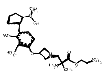 CC(N)(CN1CC(Oc2ccc([C@H]3CCC[C@H]3B(O)O)c(O)c2C(=O)O)C1)C(=O)NCCN